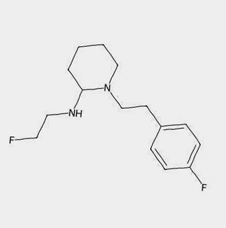 FCCNC1CCCCN1CCc1ccc(F)cc1